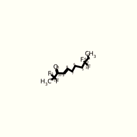 CCC(F)(F)CCCC=CC(=O)C(C)(F)F